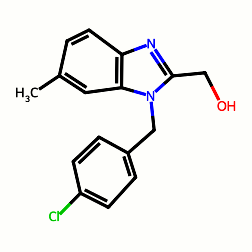 Cc1ccc2nc(CO)n(Cc3ccc(Cl)cc3)c2c1